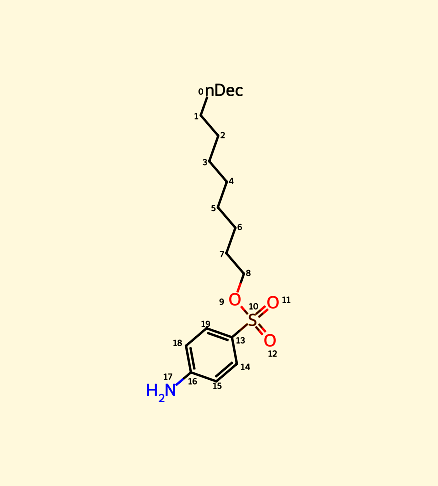 CCCCCCCCCCCCCCCCCCOS(=O)(=O)c1ccc(N)cc1